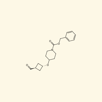 O=C[C@H]1C[C@H](OC2CCN(C(=O)OCc3ccccc3)CC2)C1